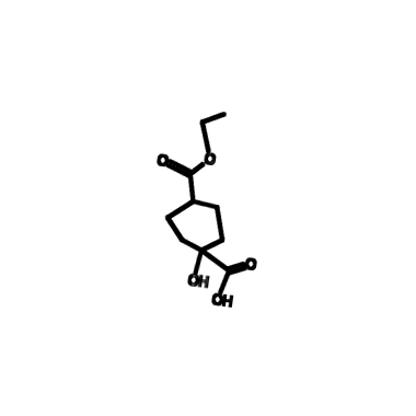 CCOC(=O)C1CCC(O)(C(=O)O)CC1